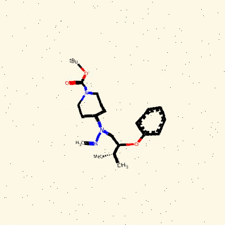 C=NN(CC(Oc1ccccc1)[C@H](C)OC)C1CCN(C(=O)OC(C)(C)C)CC1